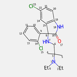 CCN(CC)C(C)(C)CNC1(c2ccccc2Cl)C(=O)Nc2ccc(Cl)cc21